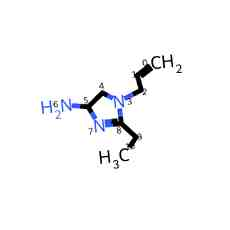 C=CCN1CC(N)N=C1CC